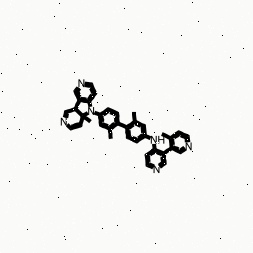 Cc1cc(Nc2ccncc2-c2cnccc2C)ccc1-c1ccc(N2c3ccncc3C3C=NC=CC32C)cc1C